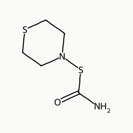 NC(=O)SN1CCSCC1